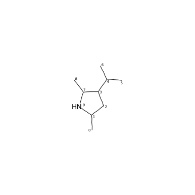 CC1CC(C(C)C)C(C)N1